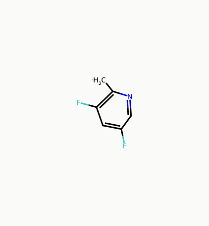 [CH2]c1ncc(F)cc1F